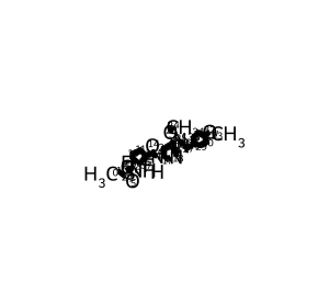 CCCS(=O)(=O)Nc1c(F)ccc(C(=O)Nc2cnc3c(c2)c(OC)nn3Cc2ccc(OC)cc2)c1F